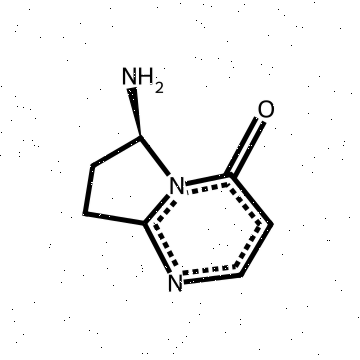 N[C@@H]1CCc2nccc(=O)n21